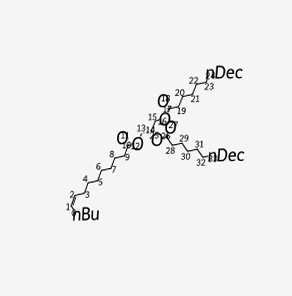 CCCC/C=C\CCCCCCCC(=O)OC[C@H](COC(=O)CCCCCCCCCCCCCCC)OC(=O)CCCCCCCCCCCCCCC